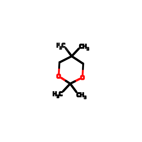 CC1(C)OCC(C)(C(F)(F)F)CO1